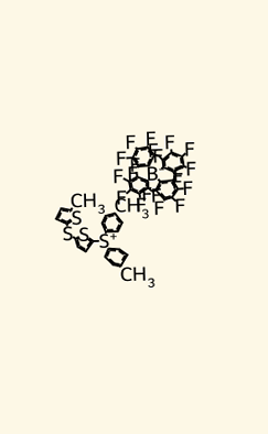 Cc1ccc([S+](c2ccc(C)cc2)c2ccc(Sc3ccc(C)s3)s2)cc1.Fc1c(F)c(F)c([B-](c2c(F)c(F)c(F)c(F)c2F)(c2c(F)c(F)c(F)c(F)c2F)c2c(F)c(F)c(F)c(F)c2F)c(F)c1F